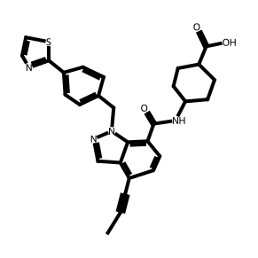 CC#Cc1ccc(C(=O)NC2CCC(C(=O)O)CC2)c2c1cnn2Cc1ccc(-c2nccs2)cc1